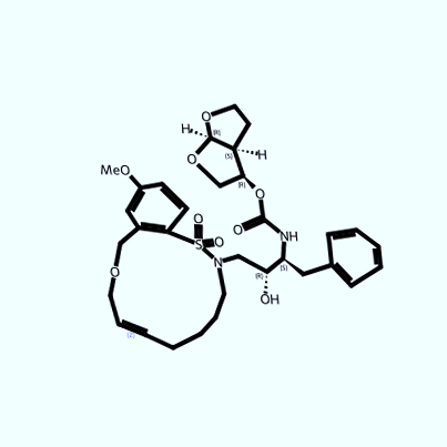 COc1ccc2c(c1)COC/C=C\CCCCN(C[C@@H](O)[C@H](Cc1ccccc1)NC(=O)O[C@H]1CO[C@H]3OCC[C@H]31)S2(=O)=O